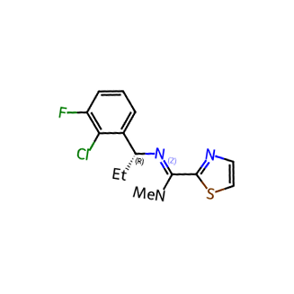 CC[C@@H](/N=C(\NC)c1nccs1)c1cccc(F)c1Cl